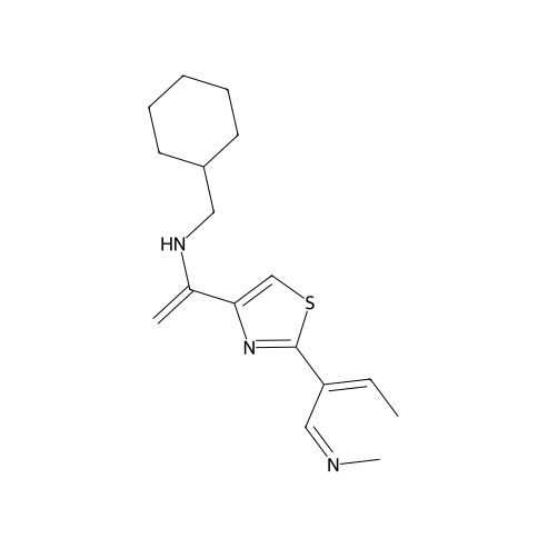 C=C(NCC1CCCCC1)c1csc(C(/C=N\C)=C/C)n1